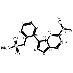 CNS(=O)(=O)Cc1ccccc1-c1ccc2cnc([S+](C)[O-])nn12